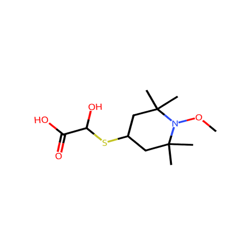 CON1C(C)(C)CC(SC(O)C(=O)O)CC1(C)C